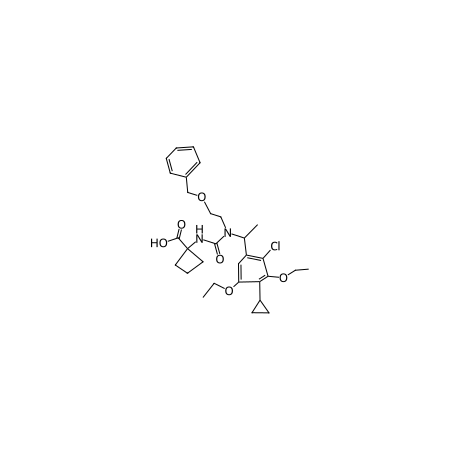 CCOc1cc(C(C)N(CCOCc2ccccc2)C(=O)NC2(C(=O)O)CCC2)c(Cl)c(OCC)c1C1CC1